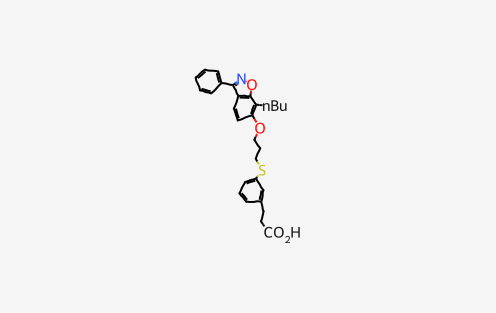 CCCCc1c(OCCCSc2cccc(CCC(=O)O)c2)ccc2c(-c3ccccc3)noc12